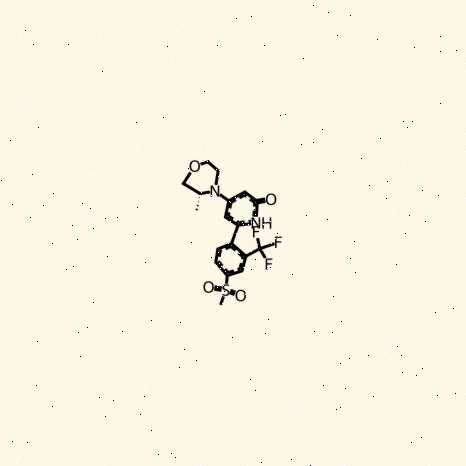 C[C@@H]1COCCN1c1cc(-c2ccc(S(C)(=O)=O)cc2C(F)(F)F)[nH]c(=O)c1